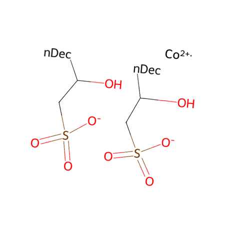 CCCCCCCCCCC(O)CS(=O)(=O)[O-].CCCCCCCCCCC(O)CS(=O)(=O)[O-].[Co+2]